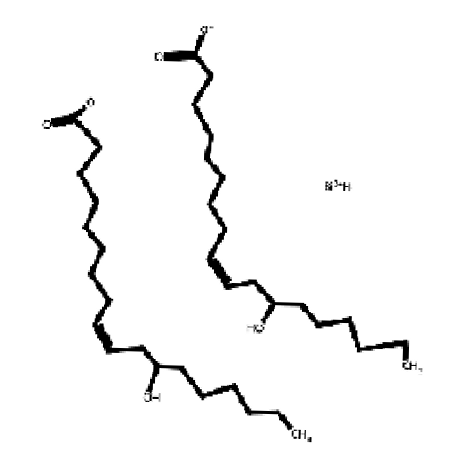 CCCCCCC(O)C/C=C\CCCCCCCC(=O)[O-].CCCCCCC(O)C/C=C\CCCCCCCC(=O)[O-].[BiH+2]